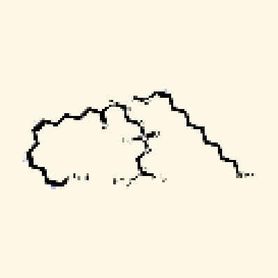 CCCCC/C=C\C/C=C\C/C=C\CCCCC(=O)O[C@H](CO/C=C\CCCCCCCCCCCCCCCCCC)COP(=O)(O)OC[C@H](N)C(=O)O